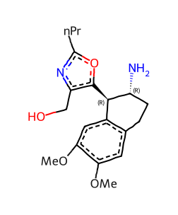 CCCc1nc(CO)c([C@@H]2c3cc(OC)c(OC)cc3CC[C@H]2N)o1